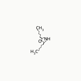 CCCCCC=C1CNCC(=CCCCCC)C1=O